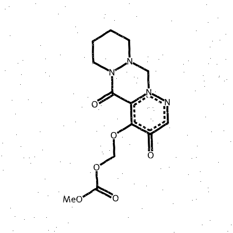 COC(=O)OCOc1c2n(ncc1=O)CN1CCCCN1C2=O